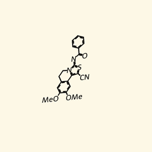 COc1cc2c(cc1OC)-c1c(C#N)sc(=NC(=O)c3ccccc3)n1CC2